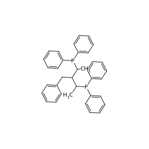 CC(C(Cc1ccccc1)C(C)P(c1ccccc1)c1ccccc1)P(c1ccccc1)c1ccccc1